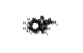 CNC(=O)c1ccccc1Sc1ccc2c(/C=C/c3ccccn3)nn(C(=O)N(CCOC=O)CCC(=O)N[C@@H](CO)C(=O)N[C@@H](CCN)C(=O)N[C@H]3CCNC(=O)[C@H]([C@@H](C)O)NC(=O)[C@H](CCN)NC(=O)[C@H](CCN)NC(=O)[C@H](CC(C)C)NC(=O)[C@@H](Cc4ccccc4)NC(=O)[C@H](CCN)NC3=O)c2c1